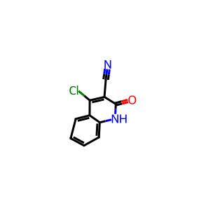 N#Cc1c(Cl)c2ccccc2[nH]c1=O